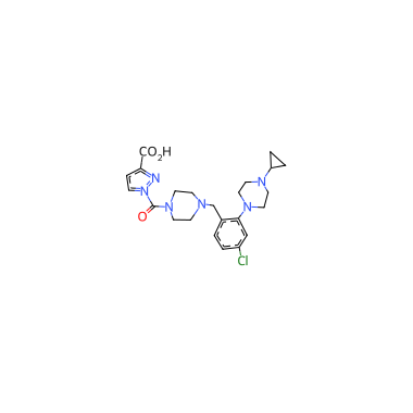 O=C(O)c1ccn(C(=O)N2CCN(Cc3ccc(Cl)cc3N3CCN(C4CC4)CC3)CC2)n1